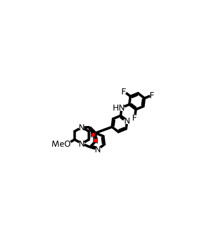 COC1CN2CCN1c1nccc3c2nc(-c2ccnc(Nc4c(F)cc(F)cc4F)c2)nc13